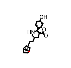 O=c1oc2cc(O)ccc2c2c1CC(CCN1CC3CCC(CC3)C1)CN2